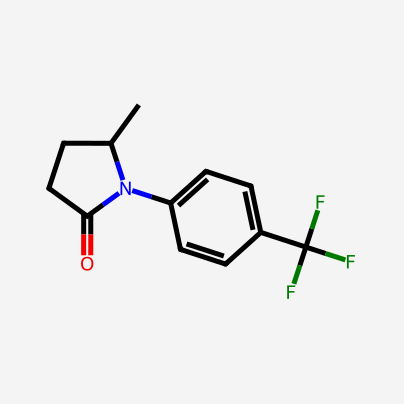 CC1CCC(=O)N1c1ccc(C(F)(F)F)cc1